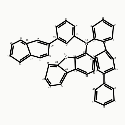 c1ccc(-c2ccc(-c3ccccc3N(c3cccc(-c4ccc5ccccc5c4)c3)c3cccc4c3sc3ccccc34)cc2)cc1